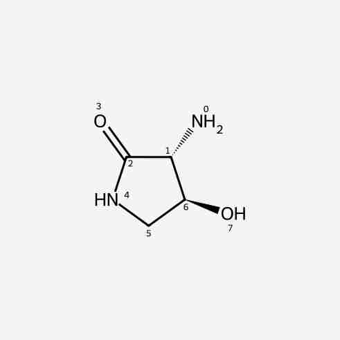 N[C@H]1C(=O)NC[C@@H]1O